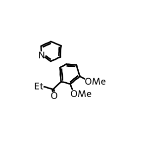 CCC(=O)c1cccc(OC)c1OC.c1ccncc1